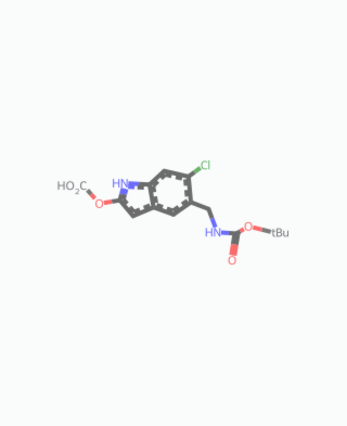 CC(C)(C)OC(=O)NCc1cc2cc(OC(=O)O)[nH]c2cc1Cl